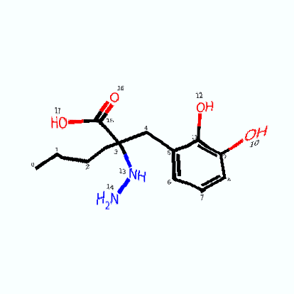 CCCC(Cc1cccc(O)c1O)(NN)C(=O)O